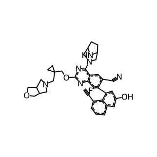 C#Cc1cccc2cc(O)cc(-c3c(C#N)cc4c(N5CC6CCC(C5)N6)nc(OCC5(CN6CC7COCC7C6)CC5)nc4c3F)c12